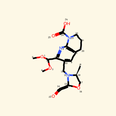 COC(OC)c1nc2c(cc1CN1C(=C=O)OC[C@@H]1C)CCCN2C(=O)O